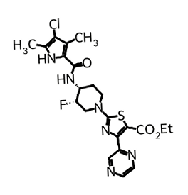 CCOC(=O)c1sc(N2CC[C@@H](NC(=O)c3[nH]c(C)c(Cl)c3C)[C@@H](F)C2)nc1-c1cnccn1